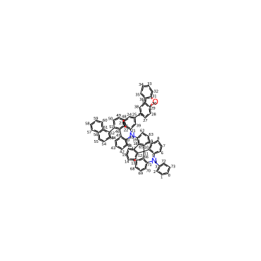 c1ccc(N2c3ccccc3C3(c4ccccc4-c4c(N(c5cccc(-c6ccc7oc8ccccc8c7c6)c5)c5ccccc5-c5ccccc5-c5cccc6ccccc56)cccc43)c3ccccc32)cc1